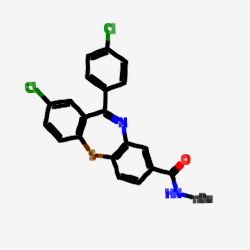 CCCCNC(=O)c1ccc2c(c1)N=C(c1ccc(Cl)cc1)c1cc(Cl)ccc1S2